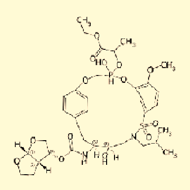 CCOC(=O)C(C)O[PH]1(O)COc2ccc(cc2)C[C@H](NC(=O)O[C@H]2CO[C@H]3OCC[C@H]32)[C@H](O)CN(CC(C)C)S(=O)(=O)c2ccc(OC)c(c2)O1